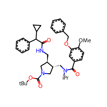 COc1ccc(C(=O)N(C[C@@H]2CN(C(=O)OC(C)(C)C)C[C@H]2CNC(=O)C(c2ccccc2)C2CC2)C(C)C)cc1OCc1ccccc1